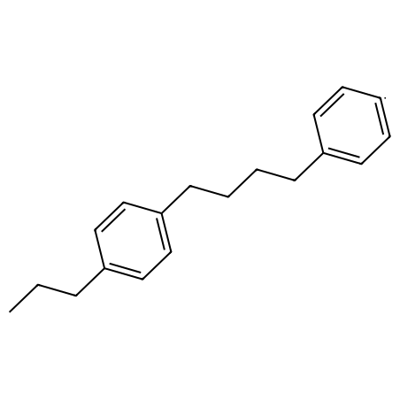 CCCc1ccc(CCCCc2cc[c]cc2)cc1